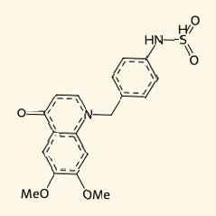 COc1cc2c(=O)ccn(Cc3ccc(N[SH](=O)=O)cc3)c2cc1OC